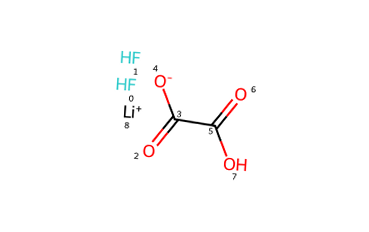 F.F.O=C([O-])C(=O)O.[Li+]